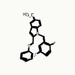 O=C(O)c1ccc2c(c1)cc(COc1ccccc1)n2Cc1cc(C(F)(F)F)ccc1F